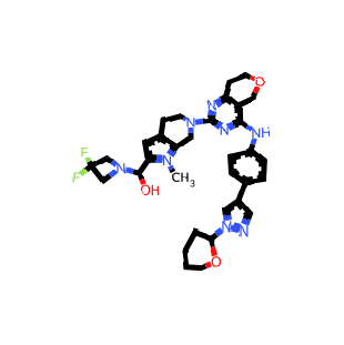 Cn1c(C(O)N2CC(F)(F)C2)cc2c1CN(c1nc3c(c(Nc4ccc(-c5cnn(C6CCCCO6)c5)cc4)n1)COCC3)CC2